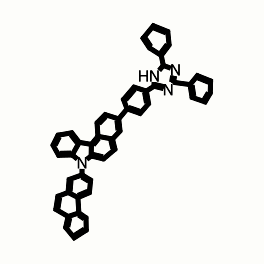 c1ccc(C2=NC(c3ccccc3)NC(c3ccc(-c4ccc5c(ccc6c5c5ccccc5n6-c5ccc6c(ccc7ccccc76)c5)c4)cc3)=N2)cc1